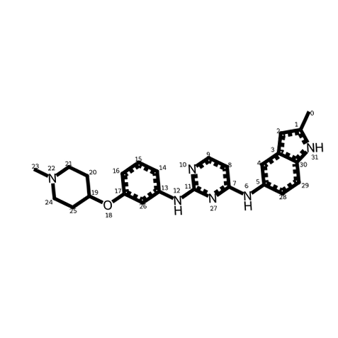 Cc1cc2cc(Nc3ccnc(Nc4cccc(OC5CCN(C)CC5)c4)n3)ccc2[nH]1